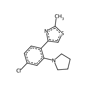 Cc1nc(-c2ccc(Cl)cc2N2CCCC2)cs1